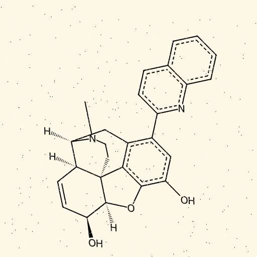 CN1CC[C@]23c4c5c(-c6ccc7ccccc7n6)cc(O)c4O[C@H]2[C@@H](O)C=C[C@H]3[C@H]1C5